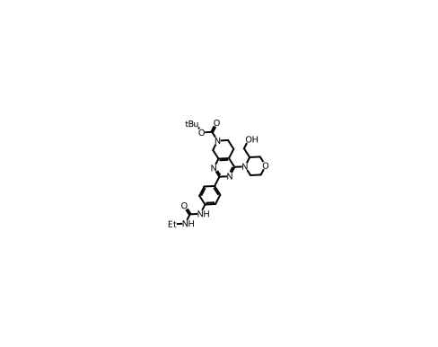 CCNC(=O)Nc1ccc(-c2nc3c(c(N4CCOCC4CO)n2)CCN(C(=O)OC(C)(C)C)C3)cc1